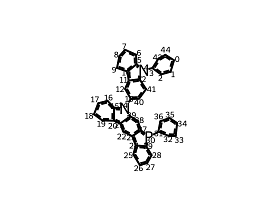 c1ccc(-n2c3ccccc3c3cc(-n4c5ccccc5c5cc6c7ccccc7p(-c7ccccc7)c6cc54)ccc32)cc1